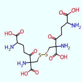 NC(CCC(=O)C(N)(CSSCC(N)(C(=O)O)C(=O)CCC(N)C(=O)O)C(=O)O)C(=O)O